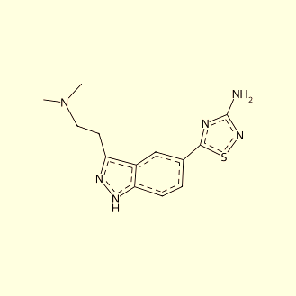 CN(C)CCc1n[nH]c2ccc(-c3nc(N)ns3)cc12